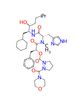 CC(C)CC[C@H](O)[C@H](CC1CCCCC1)NC(=O)[C@H](Cc1c[nH]cn1)N(C)C(=O)[C@H](Cc1ccccc1)OC(=O)N1CCCN1C(=O)N1CCOCC1